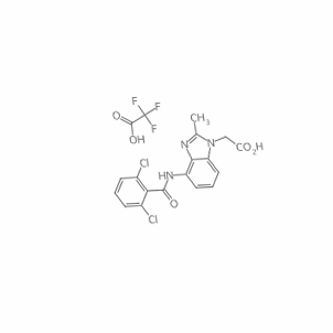 Cc1nc2c(NC(=O)c3c(Cl)cccc3Cl)cccc2n1CC(=O)O.O=C(O)C(F)(F)F